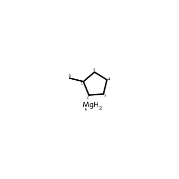 CC1CCCC1.[MgH2]